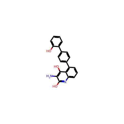 Nc1c(O)nc2cccc(-c3ccc(-c4ccccc4O)cc3)c2c1O